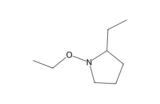 CCON1CCCC1CC